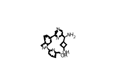 N[C@H](c1cncc(-c2ccc3cnn(-c4cccc(CO)n4)c3c2)n1)C1CC(O)C1